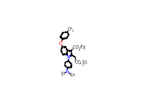 CCOC(=O)Cc1c(C(=O)OCC)c2cc(Oc3ccc(C(F)(F)F)cc3)ccc2n1-c1ccc(N(CC)CC)cc1